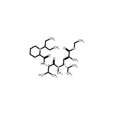 CCOC(=O)/C(C)=C/[C@H](C(C)C)N(C)C(=O)[C@@H](NC(=O)C1CCCCN1C(CC)CC)C(C)C